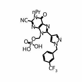 CCCn1c(C#N)nc2c(nc(-c3cnn(Cc4cccc(C(F)(F)F)c4)c3)n2COP(=O)(O)O)c1=O